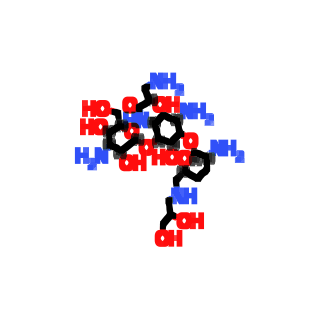 NC[C@H](O)C(=O)N[C@@H]1C[C@H](N)C(O[C@H]2O[C@H](CNCC(O)CO)CC[C@H]2N)[C@H](O)[C@H]1O[C@H]1O[C@H](CO)[C@@H](O)[C@H](N)[C@H]1O